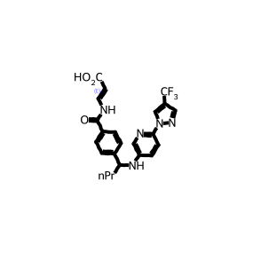 CCCC(Nc1ccc(-n2cc(C(F)(F)F)cn2)nc1)c1ccc(C(=O)N/C=C/C(=O)O)cc1